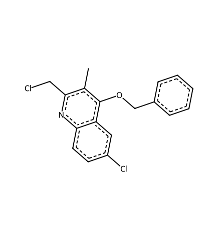 Cc1c(CCl)nc2ccc(Cl)cc2c1OCc1ccccc1